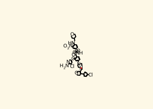 Nc1ncc(Oc2cc(N3CCN(CC4=C(c5ccc(Cl)cc5)CCOC4)CC3)ccc2C(=O)NS(=O)(=O)c2ccc(NCC3CCOCC3)c([N+](=O)[O-])c2)cc1Cl